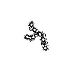 c1ccc(-c2nc3cc4c(cc3o2)oc2ccc(N(c3ccc5c(c3)oc3ccccc35)c3ccc5oc6ccccc6c5c3)cc24)cc1